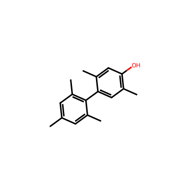 Cc1cc(C)c(-c2cc(C)c(O)cc2C)c(C)c1